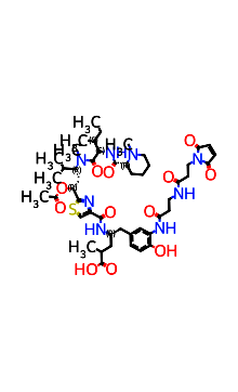 CC[C@H](C)[C@H](NC(=O)[C@H]1CCCCN1C)C(=O)N(C)[C@H](C[C@@H](OC(C)=O)c1nc(C(=O)N[C@@H](Cc2ccc(O)c(NC(=O)CCNC(=O)CCN3C(=O)C=CC3=O)c2)CC(C)C(=O)O)cs1)C(C)C